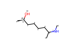 CNC(C)CCCC[C@@H](C)O